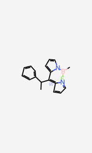 CB(F)n1cccc1/C(=C1/C=CC=N1)C(C)c1ccccc1